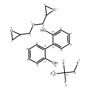 C(OCC1CO1)C1CO1.FCC(F)(F)C(F)(F)F.Oc1ccccc1-c1ccccc1O